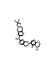 Cc1c(N2CCc3cnc(Nc4cnc5c(c4)CN(CC(F)(F)F)CC5)nc3C2)cnc2c1NCCO2